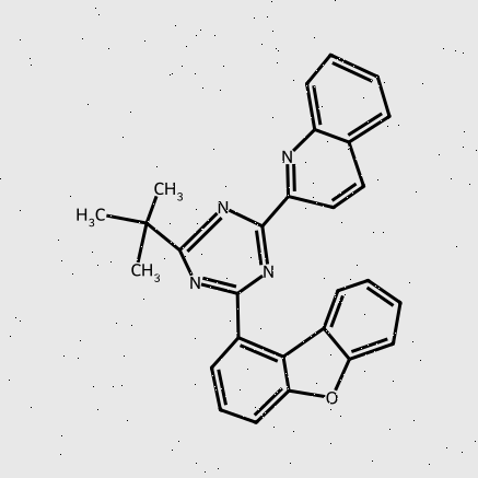 CC(C)(C)c1nc(-c2ccc3ccccc3n2)nc(-c2cccc3oc4ccccc4c23)n1